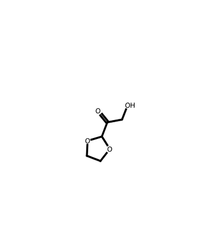 O=C(CO)C1OCCO1